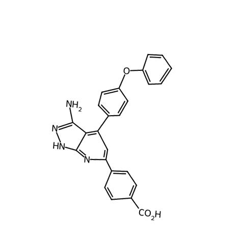 Nc1n[nH]c2nc(-c3ccc(C(=O)O)cc3)cc(-c3ccc(Oc4ccccc4)cc3)c12